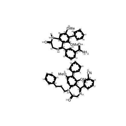 COc1cc2c(c(OC)c1-c1ccccc1)C(c1cccc(C#N)c1)=NCC(=O)N2CCCc1ccccc1.COc1cc2c(c(OC)c1-c1ccccc1)C(c1cccc(C(N)=O)c1)=NCC(=O)N2C